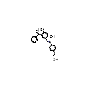 O=C(c1ccccc1)c1cc(/N=N/c2ccc(CCO)cc2)c(O)cc1O